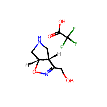 O=C(O)C(F)(F)F.OCC1=NO[C@@H]2CNC[C@H]12